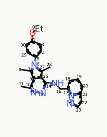 CCOc1ccc(-n2c(C)c3c(C)nnc(NCc4cccc5ccnn45)c3c2C)cc1